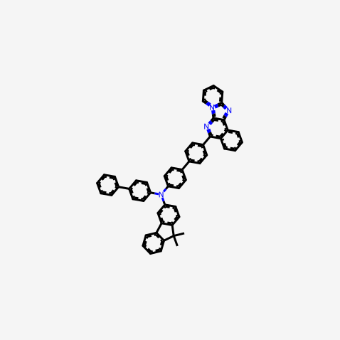 CC1(C)c2ccccc2-c2cc(N(c3ccc(-c4ccccc4)cc3)c3ccc(-c4ccc(-c5nc6c(nc7ccccn76)c6ccccc56)cc4)cc3)ccc21